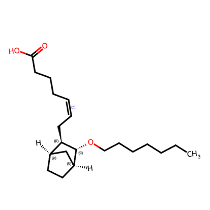 CCCCCCCO[C@@H]1[C@H]2CC[C@H](C2)[C@H]1C/C=C\CCCC(=O)O